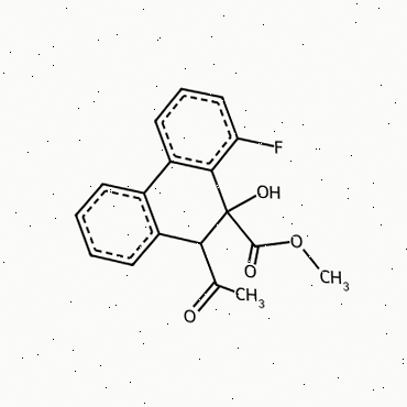 COC(=O)C1(O)c2c(F)cccc2-c2ccccc2C1C(C)=O